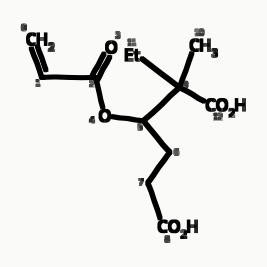 C=CC(=O)OC(CCC(=O)O)C(C)(CC)C(=O)O